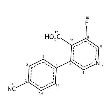 N#Cc1ccc(-c2cncc(F)c2C(=O)O)cc1